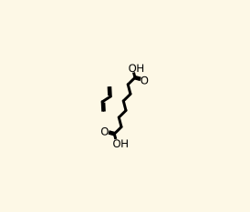 C=CC=C.O=C(O)CCCCCCC(=O)O